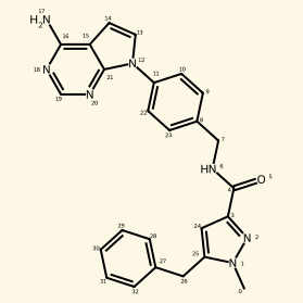 Cn1nc(C(=O)NCc2ccc(-n3ccc4c(N)ncnc43)cc2)cc1Cc1ccccc1